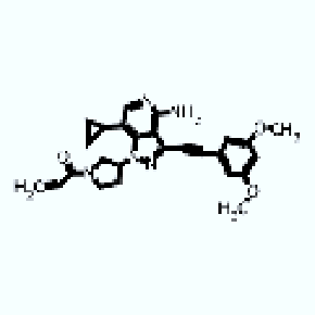 C=CC(=O)N1CCC(n2nc(C#Cc3cc(OC)cc(OC)c3)c3c(N)ncc(C4CC4)c32)C1